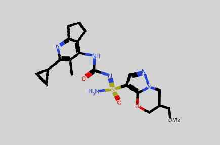 COCC1COc2c(S(N)(=O)=NC(=O)Nc3c(C)c(C4CC4)nc4c3CCC4)cnn2C1